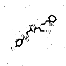 Cc1ccc(S(=O)(=O)OCc2noc([C@H](CCCC3(C(C)(C)C)CCCCC3)CC(=O)O)n2)cc1